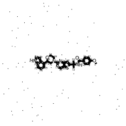 COc1ccc(C(=O)NC(C)(C)c2cc3nc(N4CCOC(c5cccc6[nH]ncc56)C4)ncc3s2)cc1